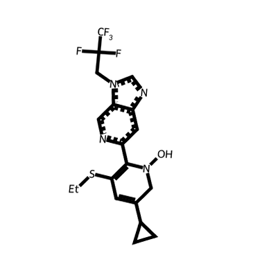 CCSC1=C(c2cc3ncn(CC(F)(F)C(F)(F)F)c3cn2)N(O)CC(C2CC2)=C1